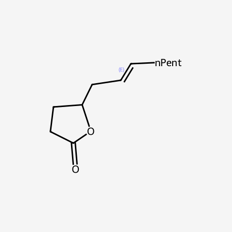 CCCCC/C=C/CC1CCC(=O)O1